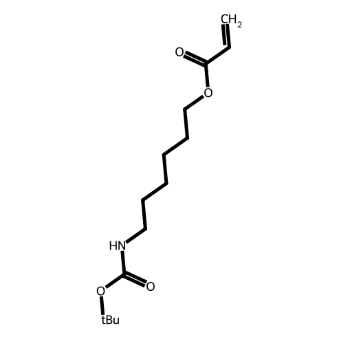 C=CC(=O)OCCCCCCNC(=O)OC(C)(C)C